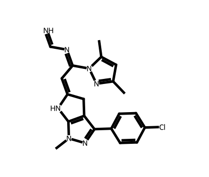 Cc1cc(C)n(C(/C=C2\Cc3c(-c4ccc(Cl)cc4)nn(C)c3N2)=N/C=N)n1